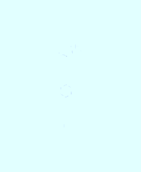 C=CC(=O)C1CCC(c2ccc(C3CCC(CCC)CC3)cc2)CC1